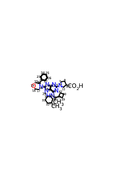 C[C@@H](Nc1nc(N2CCC(C(=O)O)C2)nc2nc(N3CCOC[C@H]3c3ccccc3)n(C[C@H]3CC[C@H](C)CC3)c12)C1CCC1